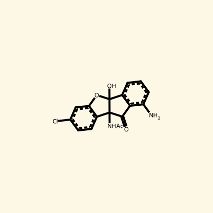 CC(=O)NC12C(=O)c3c(N)cccc3C1(O)Oc1cc(Cl)ccc12